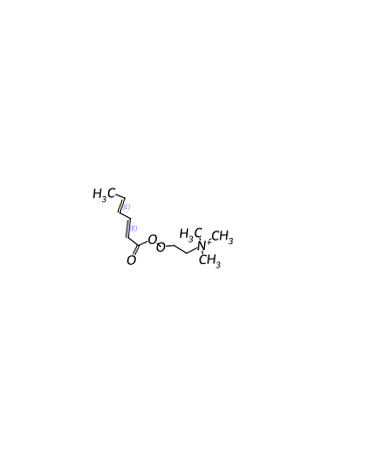 C/C=C/C=C/C(=O)OOCC[N+](C)(C)C